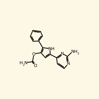 NC(=O)Oc1cc(-c2ccnc(N)n2)[nH]c1-c1ccccc1